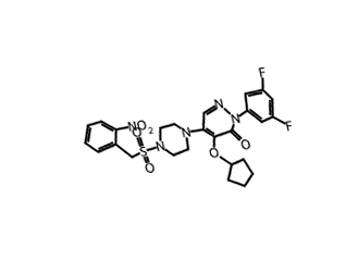 O=c1c(OC2CCCC2)c(N2CCN(S(=O)(=O)Cc3ccccc3[N+](=O)[O-])CC2)cnn1-c1cc(F)cc(F)c1